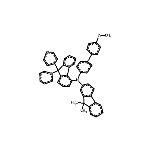 COc1ccc(-c2ccc(N(c3ccc4c(c3)C(C)(C)c3ccccc3-4)c3cccc4c3-c3ccccc3C4(c3ccccc3)c3ccccc3)cc2)cc1